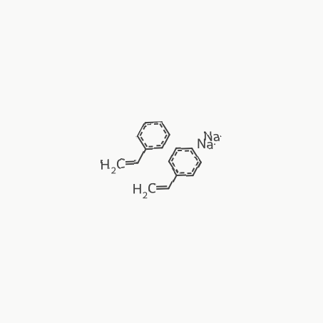 C=Cc1ccccc1.C=Cc1ccccc1.[Na].[Na]